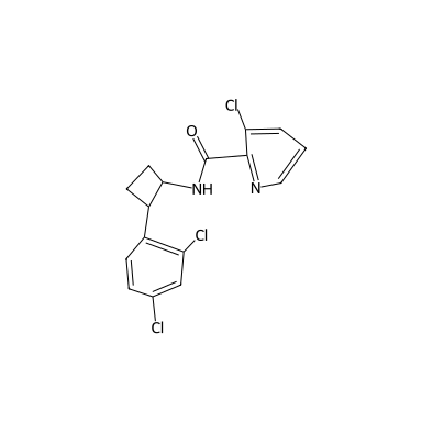 O=C(NC1CCC1c1ccc(Cl)cc1Cl)c1ncccc1Cl